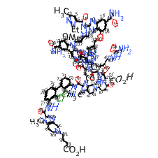 CCn1nc(C)cc1C(=O)Nc1nc2cc(C(N)=O)cc(OCCCNC(=O)[C@H](CC(=O)O)NC(=O)[C@H](CC(=O)O)NC(=O)[C@H](CCCNC(N)=O)NC(=O)[C@H](CC(=O)O)NC(=O)CCCN3CCc4c(nc(C(=O)Nc5cccc(-c6cccc(NC(=O)c7nc8c(n7C)CCN(CCCC(=O)O)C8)c6Cl)c5Cl)n4C)C3)c2n1C/C=C/Cn1c2nc(-c3cc(C)nn3CC)ncc2c2cc(C(N)=O)cc(OC)c21